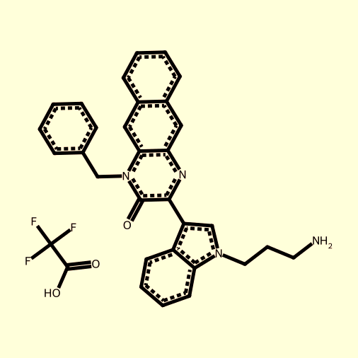 NCCCn1cc(-c2nc3cc4ccccc4cc3n(Cc3ccccc3)c2=O)c2ccccc21.O=C(O)C(F)(F)F